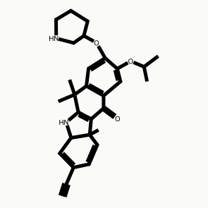 C#CC1=CC2NC3=C(C(=O)c4cc(OC(C)C)c(OC5CCCNC5)cc4C3(C)C)C2(C)C=C1